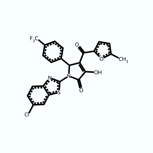 Cc1ccc(C(=O)C2=C(O)C(=O)N(c3nc4ccc(Cl)cc4s3)C2c2ccc(C(F)(F)F)cc2)o1